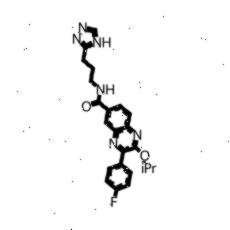 CC(C)Oc1nc2ccc(C(=O)NCCCc3nnc[nH]3)cc2nc1-c1ccc(F)cc1